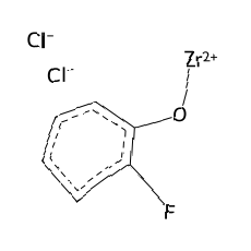 Fc1ccccc1[O][Zr+2].[Cl-].[Cl-]